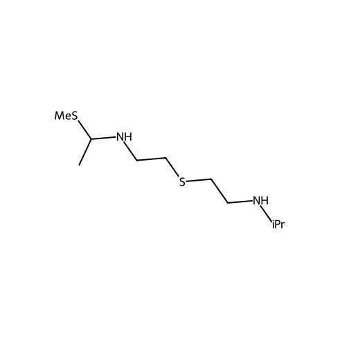 CSC(C)NCCSCCNC(C)C